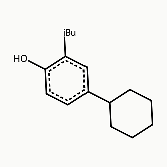 CCC(C)c1cc(C2CCCCC2)ccc1O